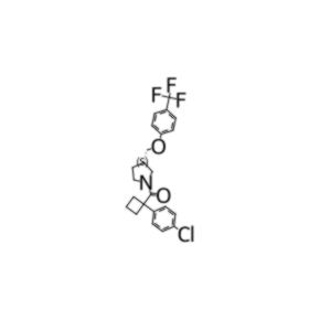 O=C(N1CC[C@H](COc2ccc(C(F)(F)F)cc2)C1)C1(c2ccc(Cl)cc2)CCC1